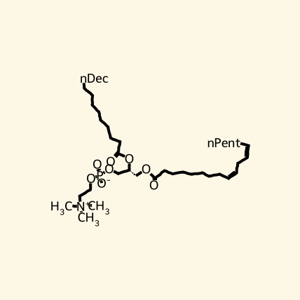 CCCCC/C=C\C/C=C\CCCCCCCC(=O)OC[C@H](COP(=O)([O-])OCC[N+](C)(C)C)OC(=O)CCCCCCCCCCCCCCCCCC